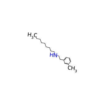 CCCCCCCCCNCCc1cccc(C)c1